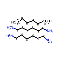 NCCCCCCN.NCCCCCCN.O=C(O)CCCCC(=O)O